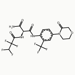 NC(=O)[C@H](NC(=O)C(F)(F)C(F)F)C(=O)Nc1ccc(N2CCOCC2=O)cc1C(F)(F)F